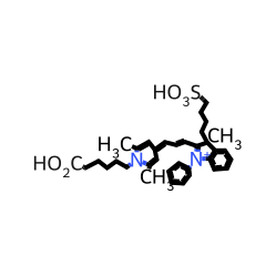 CC1=CC(=C/C=C/C2=[N+](c3ccccc3)c3ccccc3C2(C)CCCCS(=O)(=O)O)C=C(C)N1CCCCCC(=O)O